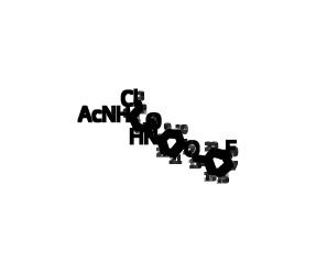 CC(=O)NC(CCl)CC(=O)Nc1ccc(OCc2cccc(F)c2)cc1